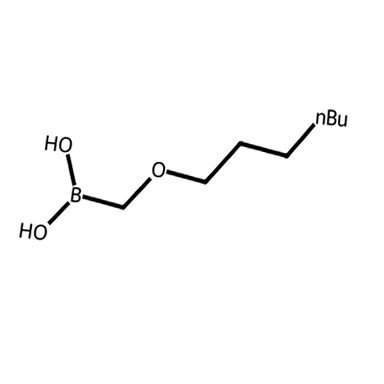 CCCCCCCOCB(O)O